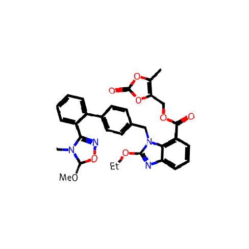 CCOc1nc2cccc(C(=O)OCc3oc(=O)oc3C)c2n1Cc1ccc(-c2ccccc2C2=NOC(OC)N2C)cc1